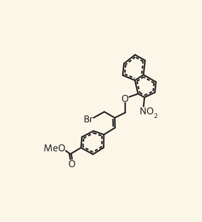 COC(=O)c1ccc(C=C(CBr)COc2c([N+](=O)[O-])ccc3ccccc23)cc1